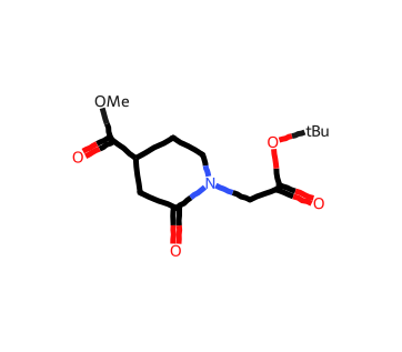 COC(=O)C1CCN(CC(=O)OC(C)(C)C)C(=O)C1